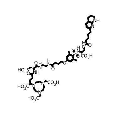 Cc1cc(OCCCC(=O)NCCNC(=O)[C@H](CS(=O)(=O)O)NC(=O)CC[C@H](C(=O)O)N2CCN(CC(=O)O)CCN(CC(=O)O)CC2)cc(C)c1S(=O)(=O)N[C@@H](CNC(=O)CCCCc1ccc2c(n1)NCCC2)C(=O)O